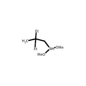 CCC(C)(CC)C[SiH](OC)OC